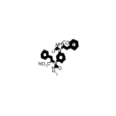 NC(=O)N(c1cccc(N(C(N)=O)[C@@H](Cc2ccccc2)C(=O)O)c1)[C@@H](Cc1ccccc1)C(=O)O